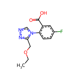 CCOCc1nncn1-c1ccc(F)cc1C(=O)O